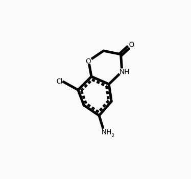 Nc1cc(Cl)c2c(c1)NC(=O)CO2